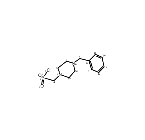 O=S(=O)(Cl)CN1CCN(Cc2ccccc2)CC1